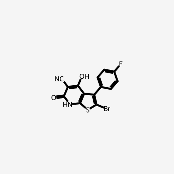 N#Cc1c(O)c2c(-c3ccc(F)cc3)c(Br)sc2[nH]c1=O